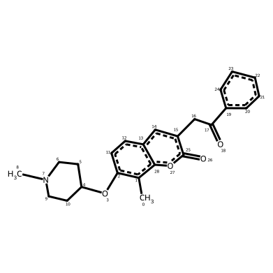 Cc1c(OC2CCN(C)CC2)ccc2cc(CC(=O)c3ccccc3)c(=O)oc12